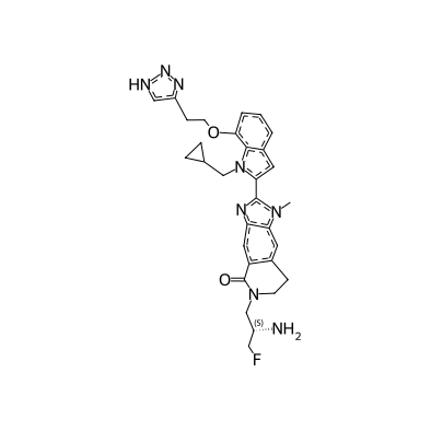 Cn1c(-c2cc3cccc(OCCc4c[nH]nn4)c3n2CC2CC2)nc2cc3c(cc21)CCN(C[C@H](N)CF)C3=O